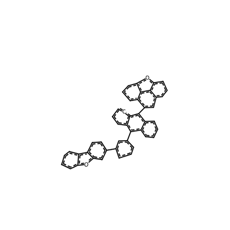 c1cc(-c2ccc3c(c2)oc2ccccc23)cc(-c2c3ccccc3c(-c3cc4cccc5oc6cccc3c6c45)c3ccccc23)c1